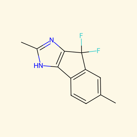 Cc1ccc2c(c1)C(F)(F)c1nc(C)[nH]c1-2